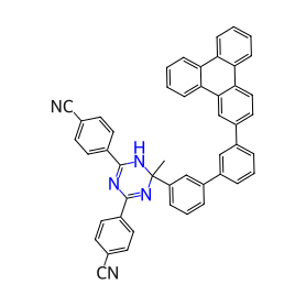 CC1(c2cccc(-c3cccc(-c4ccc5c6ccccc6c6ccccc6c5c4)c3)c2)N=C(c2ccc(C#N)cc2)N=C(c2ccc(C#N)cc2)N1